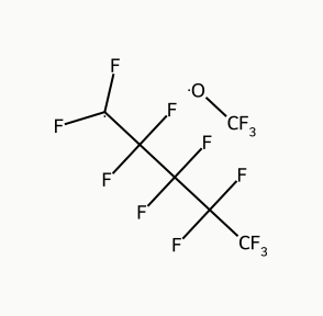 F[C](F)C(F)(F)C(F)(F)C(F)(F)C(F)(F)F.[O]C(F)(F)F